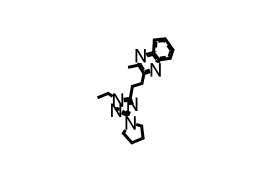 CCn1nc(N2CCCC2)nc1CCc1nc2ccccc2nc1C